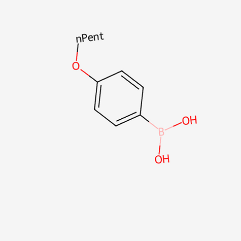 CCCCCOc1ccc(B(O)O)cc1